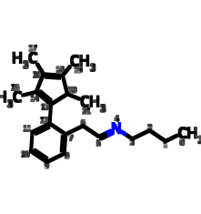 CCCCN=CCc1ccccc1C1=C(C)C(C)=C(C)C1C